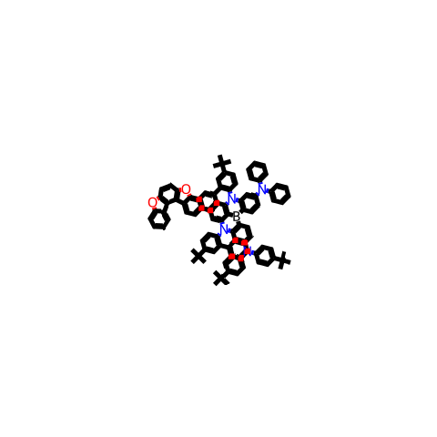 CC(C)(C)c1ccc(N(c2ccc(C(C)(C)C)cc2)c2ccc3c(c2)N(c2ccc(C(C)(C)C)cc2-c2ccccc2)c2cc(-c4ccc5c(c4)oc4ccc6oc7ccccc7c6c45)cc4c2B3c2ccc(N(c3ccccc3)c3ccccc3)cc2N4c2ccc(C(C)(C)C)cc2-c2ccccc2)cc1